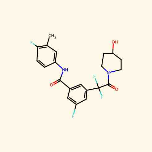 Cc1cc(NC(=O)c2cc(F)cc(C(F)(F)C(=O)N3CCC(O)CC3)c2)ccc1F